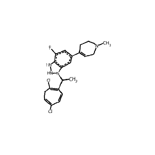 CC(C1=C(Cl)CC=C(Cl)C=C1)N1NNc2c(F)cc(C3=CCN(C)CC3)cc21